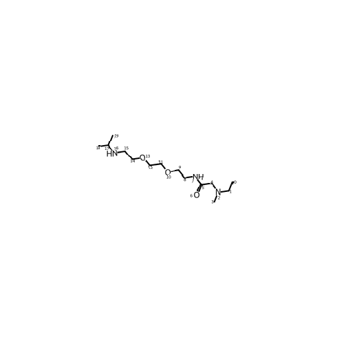 CCN(C)CC(=O)NCCOCCOCCNC(C)C